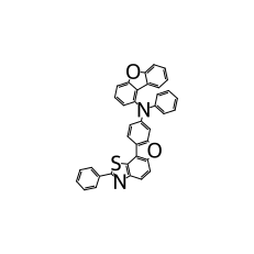 c1ccc(-c2nc3ccc4oc5cc(N(c6ccccc6)c6cccc7oc8ccccc8c67)ccc5c4c3s2)cc1